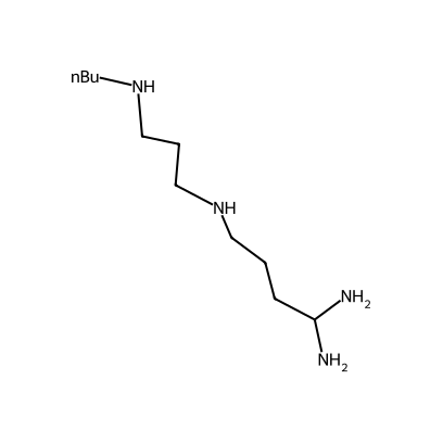 CCCCNCCCNCCCC(N)N